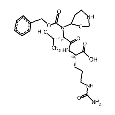 CC(C)[C@@H](C(=O)N[C@@H](CCCNC(N)=O)C(=O)O)N(C(=O)OCc1ccccc1)C1CCNCC1